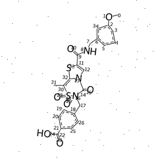 COc1cccc(CNC(=O)C2=CN3C(=O)N(Cc4ccc(C(=O)O)cc4)S(=O)(=O)C(C)=C3S2)c1